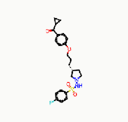 O=C(c1ccc(OCCC[C@@H]2CCN(NS(=O)(=O)c3ccc(F)cc3)C2)cc1)C1CC1